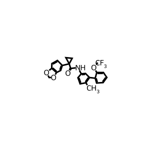 Cc1ccc(NC(=O)C2(c3ccc4c(c3)OCO4)CC2)cc1-c1ccccc1OC(F)(F)F